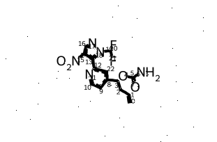 C=CCC(OC(N)=O)c1ccnc(-c2c([N+](=O)[O-])cnn2C(F)F)c1